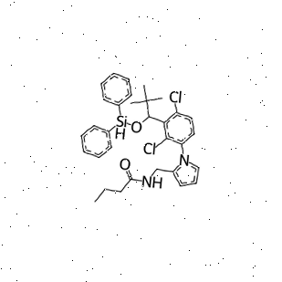 CCCC(=O)NCc1cccn1-c1ccc(Cl)c(C(O[SiH](c2ccccc2)c2ccccc2)C(C)(C)C)c1Cl